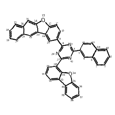 c1ccc2cc(-c3nc(-c4ccc5oc6cc7ccccc7cc6c5c4)nc(-c4cccc5c4oc4ccccc45)n3)ccc2c1